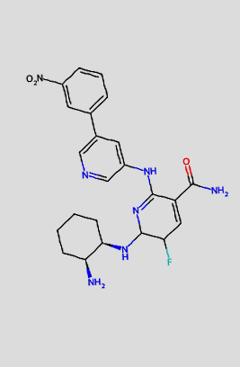 NC(=O)C1=CC(F)C(N[C@@H]2CCCC[C@@H]2N)N=C1Nc1cncc(-c2cccc([N+](=O)[O-])c2)c1